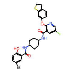 CCc1ccc(O)c(C(=O)NC2CCC(NC(=O)c3cc(F)cnc3Oc3ccc4c(c3)SCC4)CC2)c1